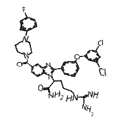 N=C(N)NCCCC(C(N)=O)n1c(-c2cccc(Oc3cc(Cl)cc(Cl)c3)c2)nc2cc(C(=O)N3CCN(c4ccc(F)cc4)CC3)ccc21